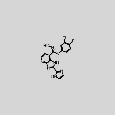 O/N=C(/Nc1ccc(F)c(Cl)c1)c1ccnc2nc(-c3ncc[nH]3)[nH]c12